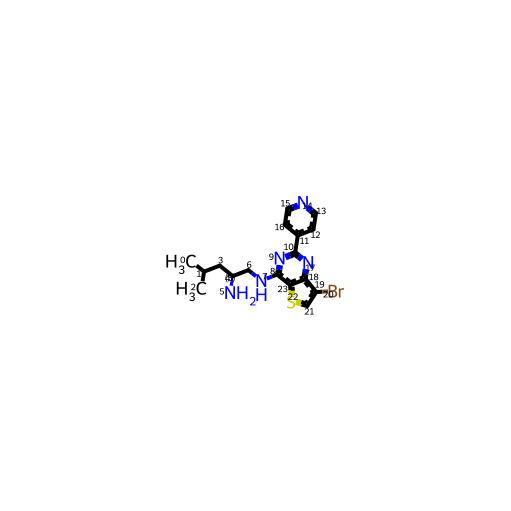 CC(C)C[C@H](N)CNc1nc(-c2ccncc2)nc2c(Br)csc12